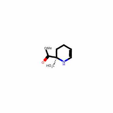 COC(=O)[C@@]1(C(=O)O)CCC=CN1